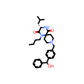 CCCCN1C(=O)[C@H](CC(C)C)NC(=O)C12CCN(Cc1ccc(C(O)c3ccccc3)cc1)CC2